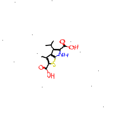 Cc1c(C(=O)O)sc2[nH]c(C(=O)O)c(C(C)C)c12